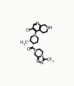 C[C@@H]1CN(c2c(Cl)cnc3c2CCNC3)CC[C@@H]1C(=O)N1CCn2c(nnc2C(F)(F)F)C1